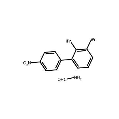 CC(C)c1cccc(-c2ccc([N+](=O)[O-])cc2)c1C(C)C.NC=O